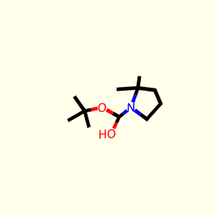 CC(C)(C)OC(O)N1CCCC1(C)C